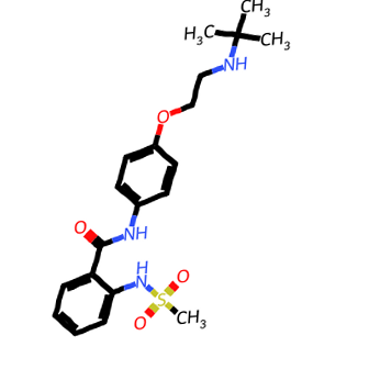 CC(C)(C)NCCOc1ccc(NC(=O)c2ccccc2NS(C)(=O)=O)cc1